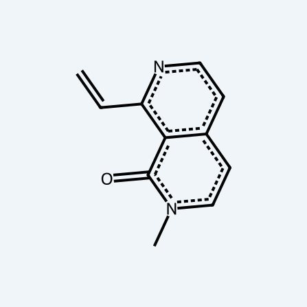 C=Cc1nccc2ccn(C)c(=O)c12